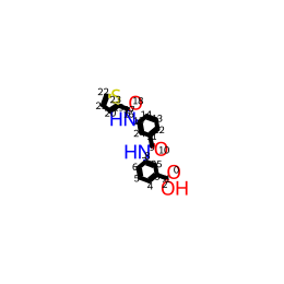 O=C(O)c1cccc(NC(=O)c2cccc(NC(=O)c3cccs3)c2)c1